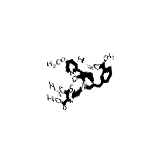 C=C(C)c1cccc(CCCN(Cc2nc(C(=O)O)c(C)s2)C(=O)C2(c3ccc(OC)cn3)CC2)c1